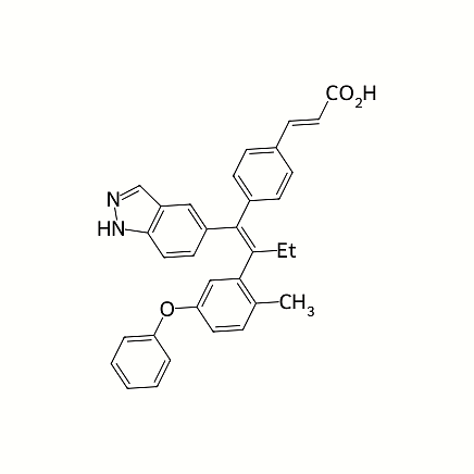 CCC(=C(c1ccc(C=CC(=O)O)cc1)c1ccc2[nH]ncc2c1)c1cc(Oc2ccccc2)ccc1C